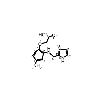 Cl.Nc1ccc(OCCO)c(NCc2ncc[nH]2)c1